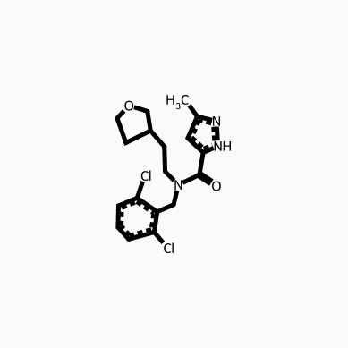 Cc1cc(C(=O)N(CCC2CCOC2)Cc2c(Cl)cccc2Cl)[nH]n1